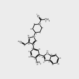 CC(=O)N1CCC(n2cc(-c3cnc(N)c(-c4nc5ccccc5o4)c3)c(C=O)n2)CC1